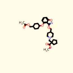 COC(=O)C1(CN2CCC(COc3noc4cccc(OC5CCC(COC(C)=O)CC5)c34)CC2)CCCC1